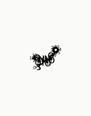 CSCCC(NC(=O)OC(C)(C)C)C(=O)NC(=O)OCc1ccccc1